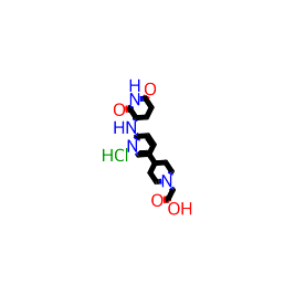 Cl.O=C(O)CN1CCC(c2ccc(NC3CCC(=O)NC3=O)nc2)CC1